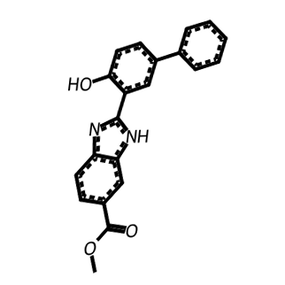 COC(=O)c1ccc2nc(-c3cc(-c4ccccc4)ccc3O)[nH]c2c1